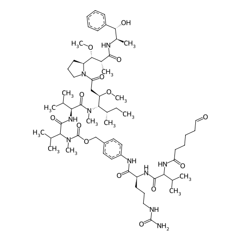 CC[C@H](C)[C@@H]([C@@H](CC(=O)N1CCC[C@H]1[C@H](OC)[C@@H](C)C(=O)N[C@H](C)[C@@H](O)c1ccccc1)OC)N(C)C(=O)[C@@H](NC(=O)C(C(C)C)N(C)C(=O)OCc1ccc(NC(=O)[C@H](CCCNC(N)=O)NC(=O)C(NC(=O)CCCCC=O)C(C)C)cc1)C(C)C